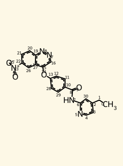 CCc1ccnc(NC(=O)c2ccc(Oc3cnnc4ccc([N+](=O)[O-])cc34)cc2)c1